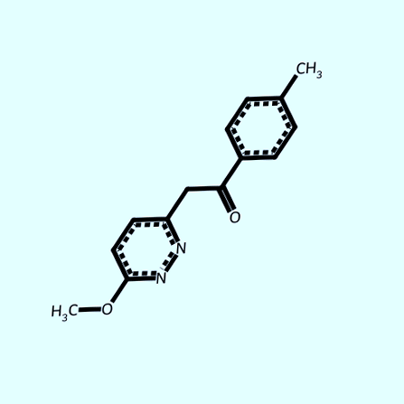 COc1ccc(CC(=O)c2ccc(C)cc2)nn1